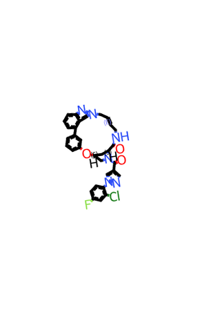 O=C1NC/C=C/Cn2cc3c(cccc3n2)-c2cccc(c2)O[C@H]2C[C@@H]1N(C(=O)c1cnn(-c3ccc(F)cc3Cl)c1)C2